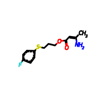 C/C(N)=C/C(=O)OCCCSc1ccc(F)cc1